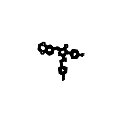 O=C1/C(=C/c2ccc3c(c2)OCCO3)S/C(=N\Cc2ccc(F)cc2)N1c1ccc(F)cc1